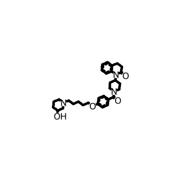 O=C(c1ccc(OCCCCCN2CCCC(O)C2)cc1)N1CCC(N2C(=O)CCc3ccccc32)CC1